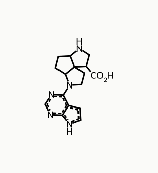 O=C(O)C1CNC2CCC3N(c4ncnc5[nH]ccc45)CCC213